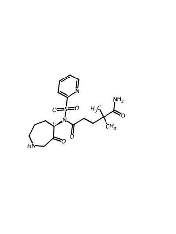 CC(C)(C[CH]C(=O)N([C@@H]1CCCNCC1=O)S(=O)(=O)c1ccccn1)C(N)=O